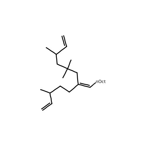 C=CC(C)CCC(=CCCCCCCCC)CC(C)(C)CC(C)C=C